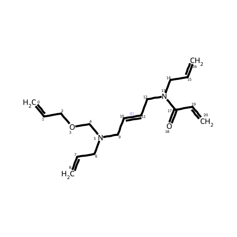 C=CCOCN(CC=C)C/C=C/CN(CC=C)C(=O)C=C